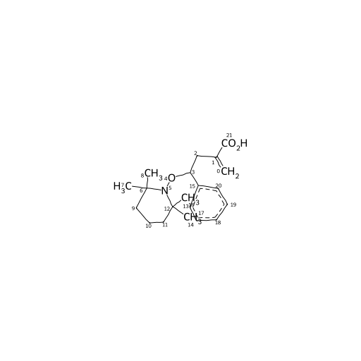 C=C(CC(ON1C(C)(C)CCCC1(C)C)c1ccccc1)C(=O)O